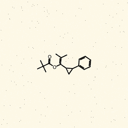 CC(C)=C(OC(=O)C(C)(C)C)C1CC1c1ccccc1